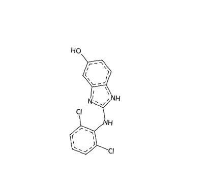 Oc1ccc2[nH]c(Nc3c(Cl)cccc3Cl)nc2c1